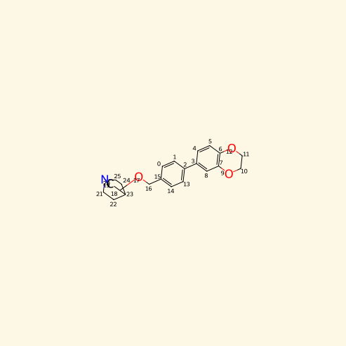 c1cc(-c2ccc3c(c2)OCCO3)ccc1COC1CN2CCC1CC2